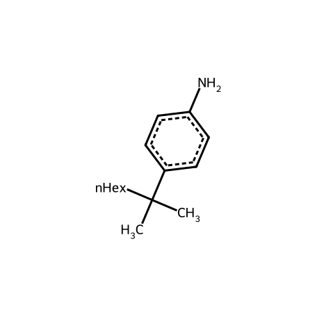 CCCCCCC(C)(C)c1ccc(N)cc1